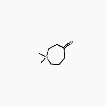 C[Si]1(C)CCCC(=O)CC1